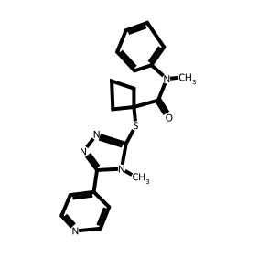 CN(C(=O)C1(Sc2nnc(-c3ccncc3)n2C)CCC1)c1ccccc1